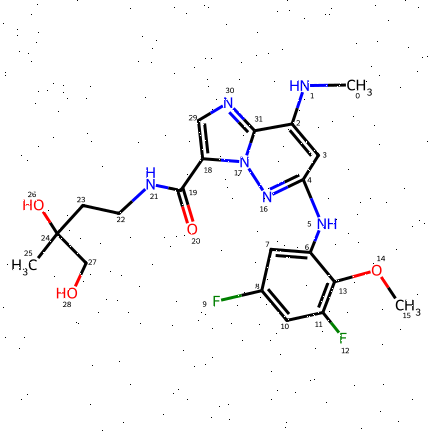 CNc1cc(Nc2cc(F)cc(F)c2OC)nn2c(C(=O)NCCC(C)(O)CO)cnc12